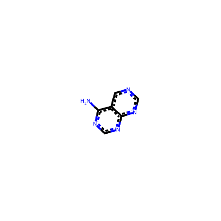 Nc1ncnc2n[c]ncc12